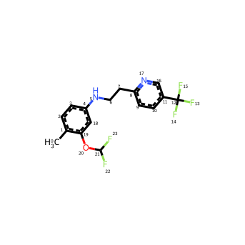 Cc1ccc(NCCc2ccc(C(F)(F)F)cn2)cc1OC(F)F